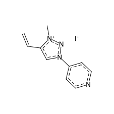 C=Cc1cn(-c2ccncc2)n[n+]1C.[I-]